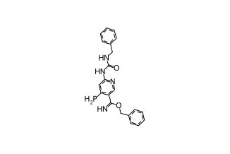 N=C(OCc1ccccc1)c1cnc(NC(=O)NCc2ccccc2)cc1P